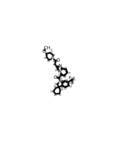 COC1CCN(C(=O)Cc2cn3c(C(=O)NCC4(c5ccc(C(F)(F)F)cc5)CCCCC4)cccc3n2)CC1